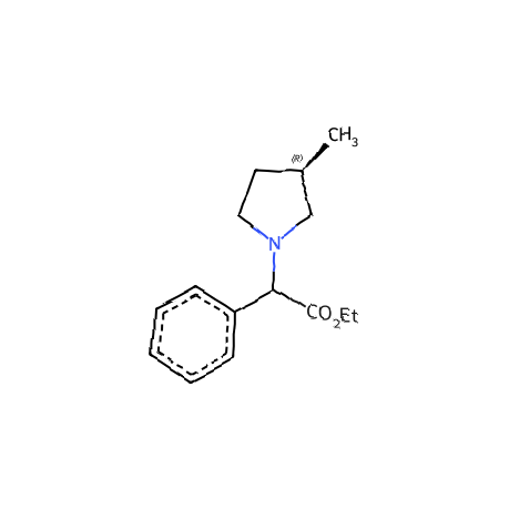 CCOC(=O)C(c1ccccc1)N1CC[C@@H](C)C1